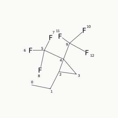 CCC1CC1(C(F)(F)F)C(F)(F)F